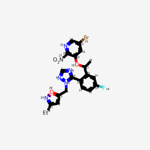 CCc1cc(Cn2ncnc2-c2ccc(F)cc2C(C)Oc2cc(Br)cnc2[N+](=O)[O-])on1